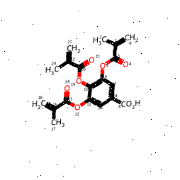 C=C(C)C(=O)Oc1cc(C(=O)O)cc(OC(=O)C(=C)C)c1OC(=O)C(=C)C